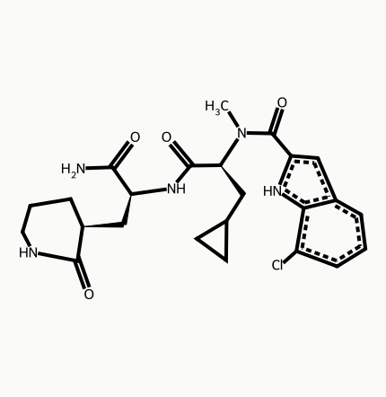 CN(C(=O)c1cc2cccc(Cl)c2[nH]1)[C@@H](CC1CC1)C(=O)N[C@@H](C[C@@H]1CCCNC1=O)C(N)=O